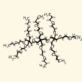 CCCOCCOCC(COCCOCC)(COCCOCCC)COCC(COCCOCCC)(COCCOCCC)COCC(COCCOCCC)(COCCOCCC)COCCOCCC